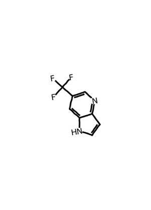 FC(F)(F)c1cnc2cc[nH]c2c1